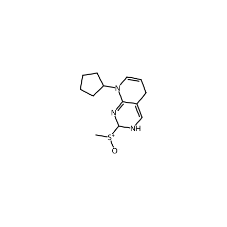 C[S+]([O-])C1N=C2C(=CN1)CC=CN2C1CCCC1